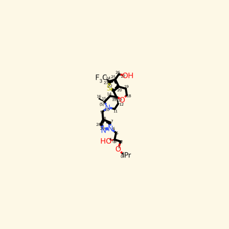 CC(C)OC[C@@H](O)Cn1cc(CN2CC[C@]3(C[C@@H]2C)OCCc2c3sc(C(F)(F)F)c2CO)cn1